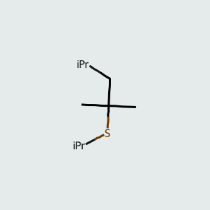 CC(C)CC(C)(C)SC(C)C